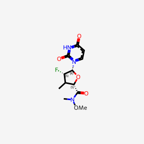 CON(C)C(=O)[C@H]1O[C@@H](n2ccc(=O)[nH]c2=O)[C@@H](F)C1C